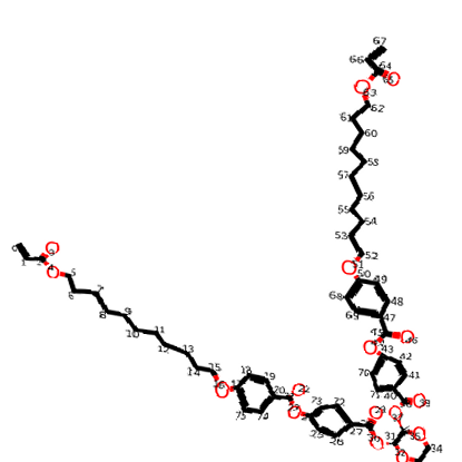 C=CC(=O)OCCCCCCCCCCCOc1ccc(C(=O)Oc2ccc(C(=O)O[C@H]3OCCO[C@@H]3OC(=O)c3ccc(OC(=O)c4ccc(OCCCCCCCCCCCOC(=O)C=C)cc4)cc3)cc2)cc1